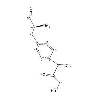 CCC(=O)C(=O)c1ccc(C[C@H](N)C=O)cc1